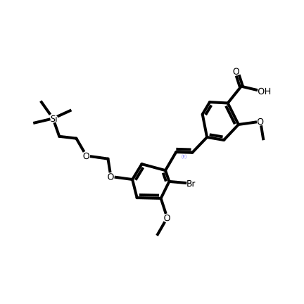 COc1cc(/C=C/c2cc(OCOCC[Si](C)(C)C)cc(OC)c2Br)ccc1C(=O)O